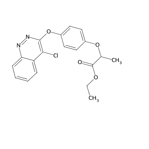 CCOC(=O)C(C)Oc1ccc(Oc2nnc3ccccc3c2Cl)cc1